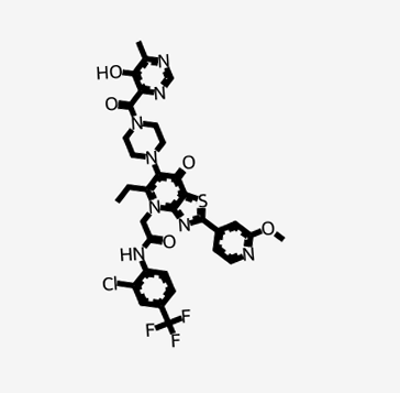 CCc1c(N2CCN(C(=O)c3ncnc(C)c3O)CC2)c(=O)c2sc(-c3ccnc(OC)c3)nc2n1CC(=O)Nc1ccc(C(F)(F)F)cc1Cl